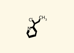 CCC(Cl)c1ccccn1